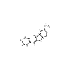 O=[N+]([O-])c1ccc2sc(=Nc3ccccc3)sc2c1